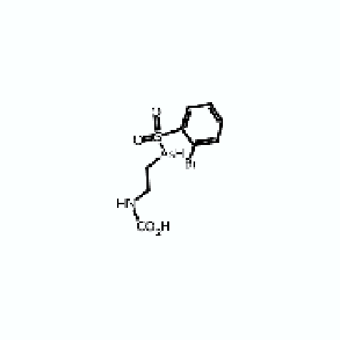 O=C(O)NCC[AsH]S(=O)(=O)c1ccccc1Br